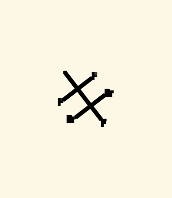 CC(F)(F)C(F)(Br)Br